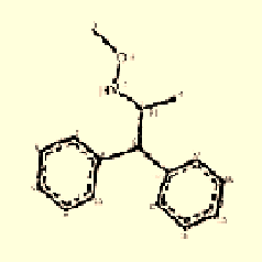 CON[C@@H](C)C(c1ccccc1)c1ccccc1